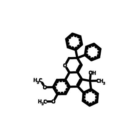 COc1cc2c(cc1OC)C1OCC(c3ccccc3)(c3ccccc3)C=C1C1=C2c2ccccc2C1(C)O